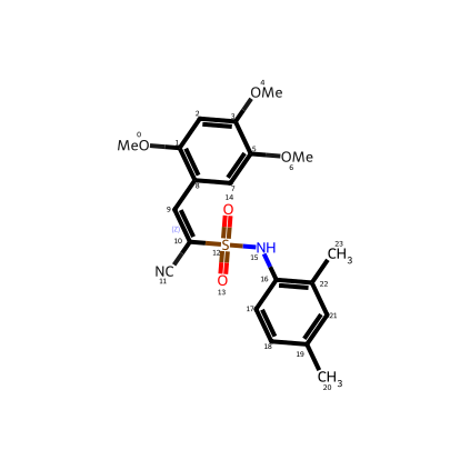 COc1cc(OC)c(OC)cc1/C=C(/C#N)S(=O)(=O)Nc1ccc(C)cc1C